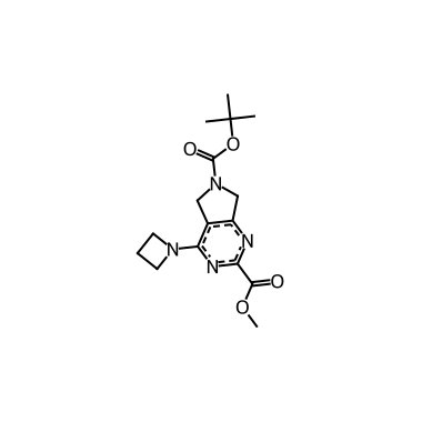 COC(=O)c1nc2c(c(N3CCC3)n1)CN(C(=O)OC(C)(C)C)C2